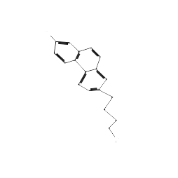 CCCCCc1ccc2c(ccc3cc(F)ccc32)c1